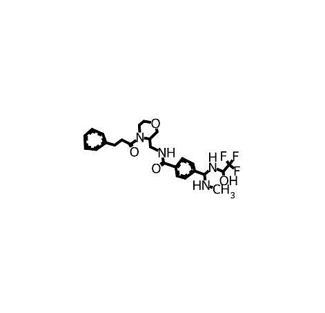 CNC(NC(O)C(F)(F)F)c1ccc(C(=O)NCC2COCCN2C(=O)CCc2ccccc2)cc1